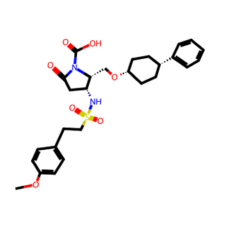 COc1ccc(CCS(=O)(=O)N[C@@H]2CC(=O)N(C(=O)O)[C@@H]2CO[C@H]2CC[C@@H](c3ccccc3)CC2)cc1